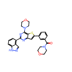 O=C(c1cccc(-c2cc3nc(-c4cccc5[nH]ncc45)nc(N4CCOCC4)c3s2)c1)N1CCOCC1